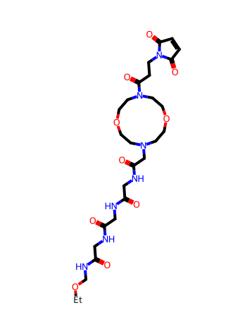 CCOCNC(=O)CNC(=O)CNC(=O)CNC(=O)CN1CCOCCN(C(=O)CCN2C(=O)C=CC2=O)CCOCC1